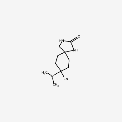 CN(C)C1(C#N)CCC2(CC1)CNC(=O)N2